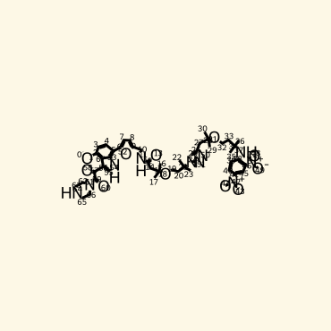 COc1ccc(-c2ccc(CNC(=O)CC(C)(C)OCCC(C)(C)n3cc(CC(C)(C)OCCC(C)(C)Nc4ccc([N+](=O)[O-])cc4[N+](=O)[O-])nn3)o2)c2[nH]cc(C(=O)C(=O)N3CCNCC3)c12